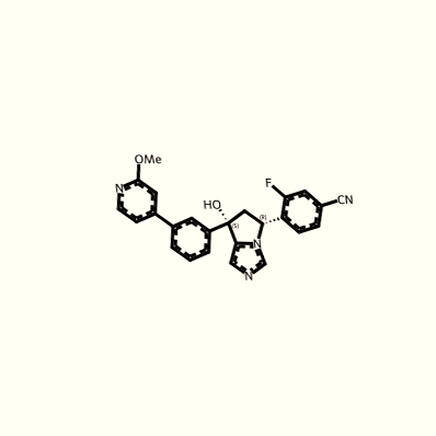 COc1cc(-c2cccc([C@@]3(O)C[C@H](c4ccc(C#N)cc4F)n4cncc43)c2)ccn1